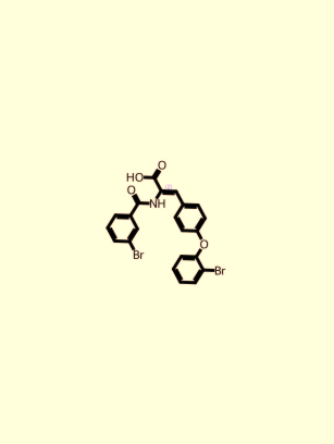 O=C(O)/C(=C/c1ccc(Oc2ccccc2Br)cc1)NC(=O)c1cccc(Br)c1